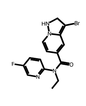 CCN(C(=O)C1=CC2=C(Br)CNN2C=C1)c1ccc(F)cn1